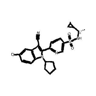 C[C@H](NS(=O)(=O)c1ccc(-c2c(C#N)c3cc(Cl)ccc3n2C2CCCC2)nc1)C1CC1